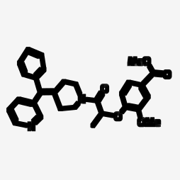 COC(=O)c1ccc(OC(C)C(=O)N2CCC(=C(c3ccccc3)c3cccnc3)CC2)c(OC)c1